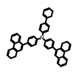 C1=CCCC(c2ccc(N(c3ccc(-c4cc5ccccc5c5c4CCC=C5)cc3)c3ccc(-c4cc5c(c6ccccc46)C=CCC5)cc3)cc2)=C1